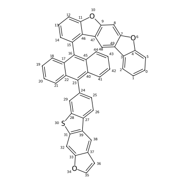 c1ccc2c(c1)oc1cc3oc4cccc(-c5c6ccccc6c(-c6ccc7c(c6)sc6cc8occc8cc67)c6ccccc56)c4c3cc12